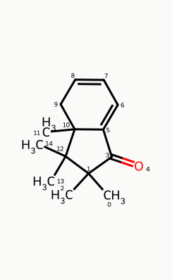 CC1(C)C(=O)C2=CC=CCC2(C)C1(C)C